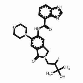 CC(C)(O)C(F)CN1Cc2cc(NC(=O)c3cccc4[nH]cnc34)c(N3CCOCC3)cc2C1=O